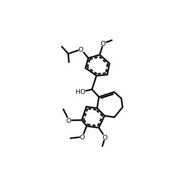 COc1ccc(C(O)C2=CCCCc3c2cc(OC)c(OC)c3OC)cc1OC(C)C